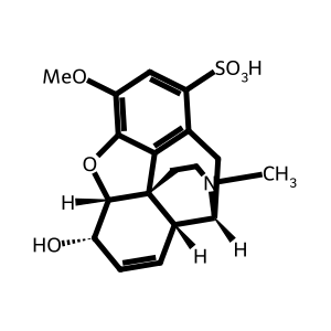 COc1cc(S(=O)(=O)O)c2c3c1O[C@H]1[C@@H](O)C=C[C@H]4[C@@H](C2)N(C)CC[C@@]341